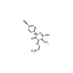 C=C(C(=O)O)/C(=N\C=C/N)C(=O)Nc1ccc(C#N)cn1